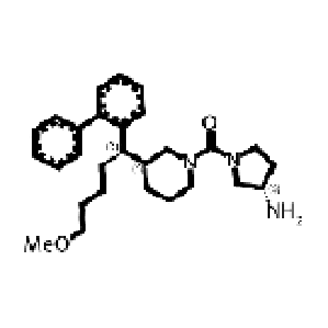 COCCCC[C@@H](c1ccccc1-c1ccccc1)[C@@H]1CCCN(C(=O)N2CC[C@H](N)C2)C1